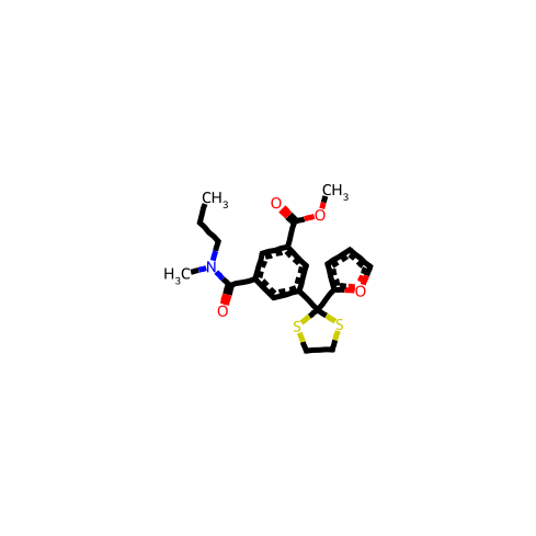 CCCN(C)C(=O)c1cc(C(=O)OC)cc(C2(c3ccco3)SCCS2)c1